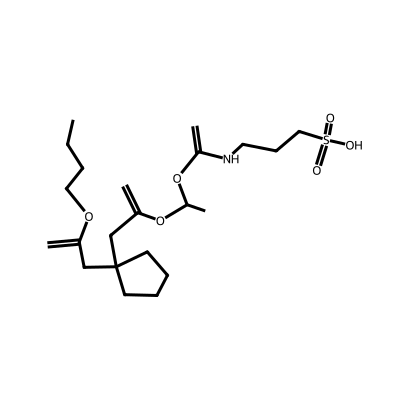 C=C(CC1(CC(=C)OC(C)OC(=C)NCCCS(=O)(=O)O)CCCC1)OCCCC